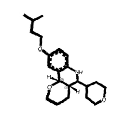 CC(C)CCOc1ccc2c(c1)[C@H]1OCCC[C@H]1C(C1CCOCC1)N2